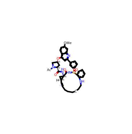 COc1ccc2c(O[C@@H]3C[C@@H](C(=O)N[C@]45C[C@@H]4/C=C\CCCCCCNc4ccccc4S(=O)(=O)NC5=O)N(C(C)=O)C3)cc(-c3ccccc3)nc2c1